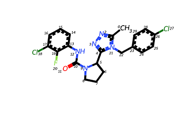 Cc1nnc(C2CCCN2C(=O)Nc2cccc(Cl)c2F)n1Cc1ccc(Cl)cc1